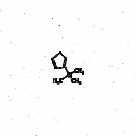 C[Si](C)(C)C1=C[CH]C=C1